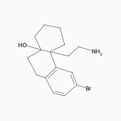 NCCC12CCCCC1(O)CCc1ccc(Br)cc12